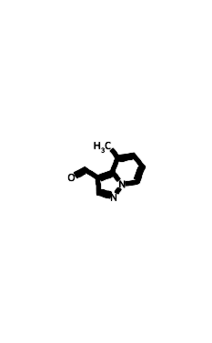 Cc1cccn2ncc(C=O)c12